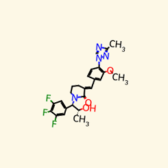 COc1cc(C=C2CCCN([C@H](c3cc(F)c(F)c(F)c3)[C@@H](C)O)C2=O)ccc1-n1cnc(C)n1